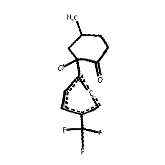 CC1CCC(=O)C(Cl)(c2ccc(C(F)(F)F)cc2)C1